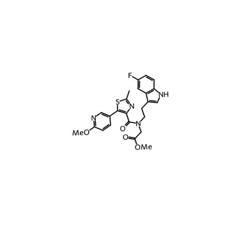 COC(=O)CN(CCc1c[nH]c2ccc(F)cc12)C(=O)c1nc(C)sc1-c1ccc(OC)nc1